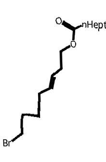 CCCCCCCC(=O)OCCC=CCCCCBr